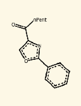 CCCCCC(=O)c1coc(-c2ccccc2)n1